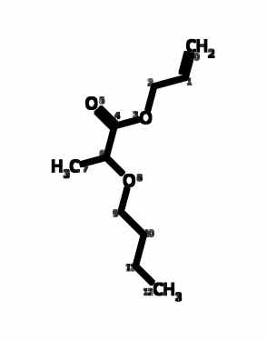 C=CCOC(=O)C(C)OCCCC